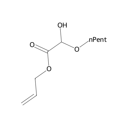 C=CCOC(=O)C(O)OCCCCC